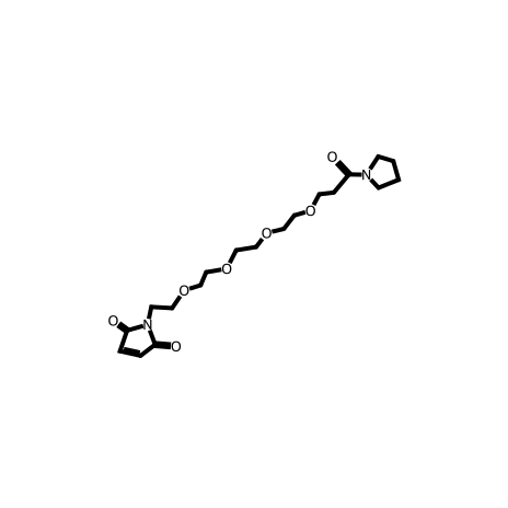 O=C(CCOCCOCCOCCOCCN1C(=O)C=CC1=O)N1CCCC1